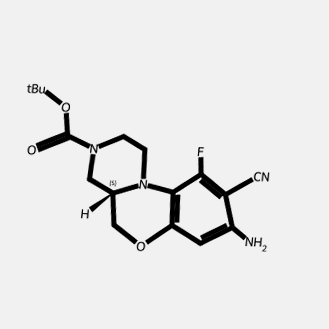 CC(C)(C)OC(=O)N1CCN2c3c(cc(N)c(C#N)c3F)OC[C@@H]2C1